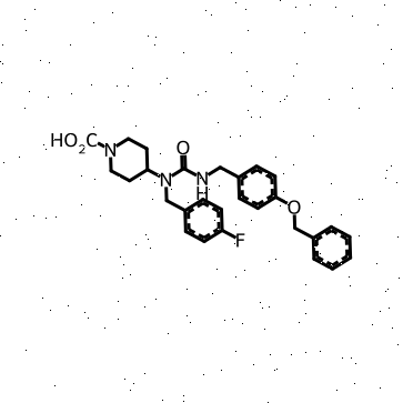 O=C(O)N1CCC(N(Cc2ccc(F)cc2)C(=O)NCc2ccc(OCc3ccccc3)cc2)CC1